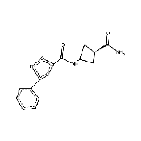 NC(=O)[C@H]1C[C@H](NC(=O)c2cc(-c3ccccc3)no2)C1